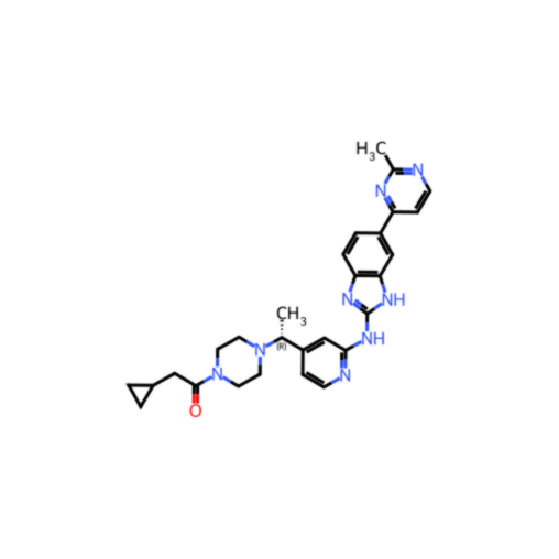 Cc1nccc(-c2ccc3nc(Nc4cc([C@@H](C)N5CCN(C(=O)CC6CC6)CC5)ccn4)[nH]c3c2)n1